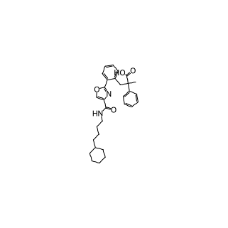 CC(Cc1ccccc1-c1nc(C(=O)NCCCCC2CCCCC2)co1)(C(=O)O)c1ccccc1